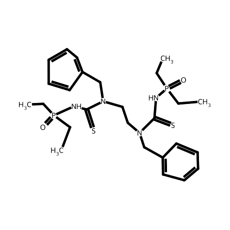 CCP(=O)(CC)NC(=S)N(CCN(Cc1ccccc1)C(=S)NP(=O)(CC)CC)Cc1ccccc1